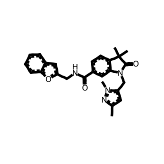 Cc1cc(CN2C(=O)C(C)(C)c3ccc(C(=O)NCc4cc5ccccc5o4)cc32)n(C)n1